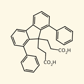 O=C(O)CCC1(CCC(=O)O)c2c(-c3ccccc3)cccc2-c2cccc(-c3ccccc3)c21